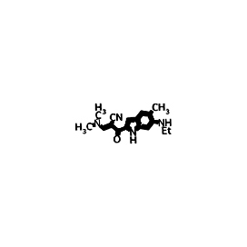 CCNc1cc2[nH]c(C(=O)/C(C#N)=C/N(C)C)cc2cc1C